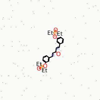 CCP(=O)(CC)Oc1cccc(/C=C/C(=O)/C=C/c2cccc(OP(=O)(CC)CC)c2)c1